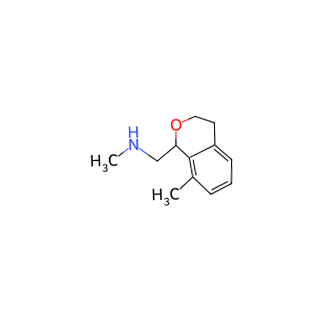 CNCC1OCCc2cccc(C)c21